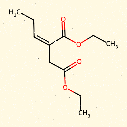 CCC=C(CC(=O)OCC)C(=O)OCC